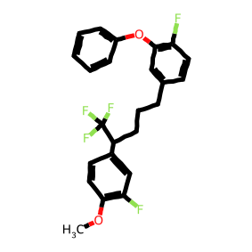 COc1ccc(C(CCCc2ccc(F)c(Oc3ccccc3)c2)C(F)(F)F)cc1F